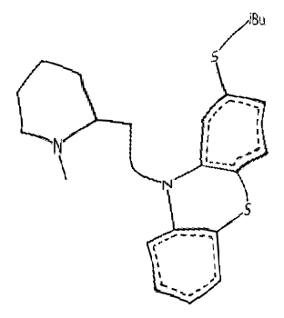 CCC(C)Sc1ccc2c(c1)N(CCC1CCCCN1C)c1ccccc1S2